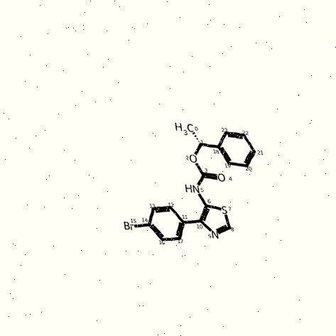 C[C@@H](OC(=O)Nc1scnc1-c1ccc(Br)cc1)c1ccccc1